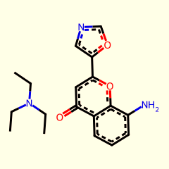 CCN(CC)CC.Nc1cccc2c(=O)cc(-c3cnco3)oc12